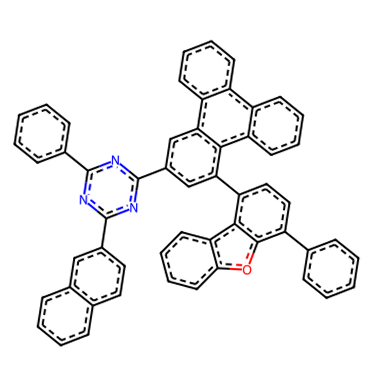 c1ccc(-c2nc(-c3ccc4ccccc4c3)nc(-c3cc(-c4ccc(-c5ccccc5)c5oc6ccccc6c45)c4c5ccccc5c5ccccc5c4c3)n2)cc1